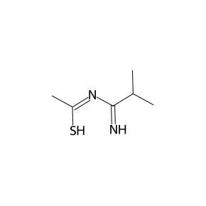 C/C(S)=N/C(=N)C(C)C